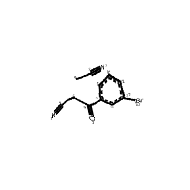 CC#N.N#CCC(=O)c1cccc(Br)c1